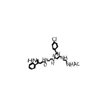 CC(=O)NCCNc1cc(NCCNC(=O)/C=C/c2c[nH]c3ccccc23)nc(-c2ccc(Cl)cc2)n1